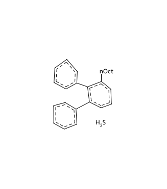 CCCCCCCCc1cccc(-c2ccccc2)c1-c1ccccc1.S